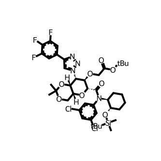 CC(C)(C)OC(=O)CO[C@@H]1[C@@H](n2cc(-c3cc(F)c(F)c(F)c3)nn2)[C@H]2OC(C)(C)OC[C@H]2O[C@H]1C(=O)N(c1cc(Cl)cc(Cl)c1)[C@H]1CCCC[C@@H]1O[Si](C)(C)C(C)(C)C